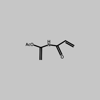 C=CC(=O)NC(=C)OC(C)=O